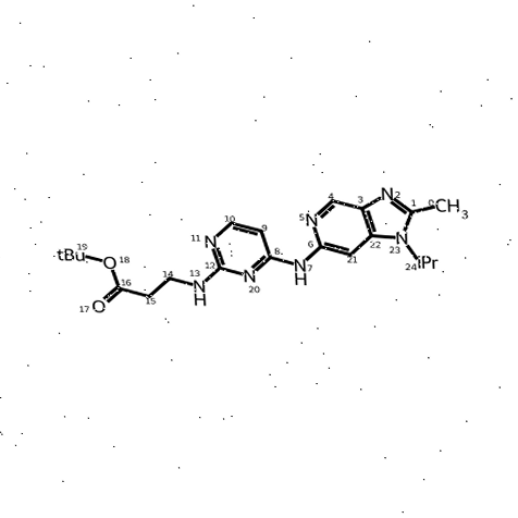 Cc1nc2cnc(Nc3ccnc(NCCC(=O)OC(C)(C)C)n3)cc2n1C(C)C